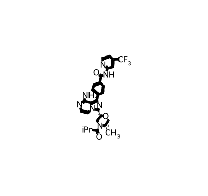 CC(C)C(=O)N1C[C@H](c2nc(-c3ccc(C(=O)Nc4cc(C(F)(F)F)ccn4)cc3)c3c(N)nccn23)OC[C@@H]1C